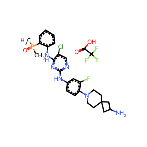 CP(C)(=O)c1ccccc1Nc1nc(Nc2ccc(N3CCC4(CC3)CC(N)C4)c(F)c2)ncc1Cl.O=C(O)C(F)(F)F